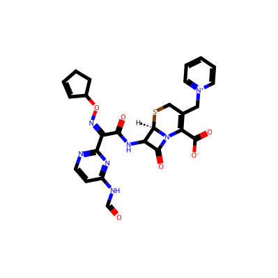 O=CNc1ccnc(/C(=N/OC2C=CCC2)C(=O)NC2C(=O)N3C(C(=O)[O-])=C(C[n+]4ccccc4)CS[C@H]23)n1